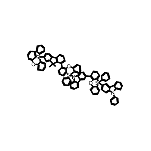 CC1(C)c2cc([Si]3(c4ccccc4)c4ccccc4Oc4ccccc43)ccc2-c2cccc(-c3cccc4c3Oc3ccccc3[Si]4(c3ccccc3)n3c4ccccc4c4cc(-c5cccc6c5Oc5ccccc5[Si]6(c5ccccc5)c5ccc6c(c5)c5ccccc5n6-c5ccccc5)ccc43)c21